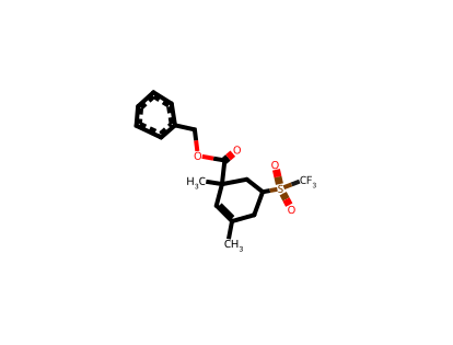 CC1=CC(C)(C(=O)OCc2ccccc2)CC(S(=O)(=O)C(F)(F)F)C1